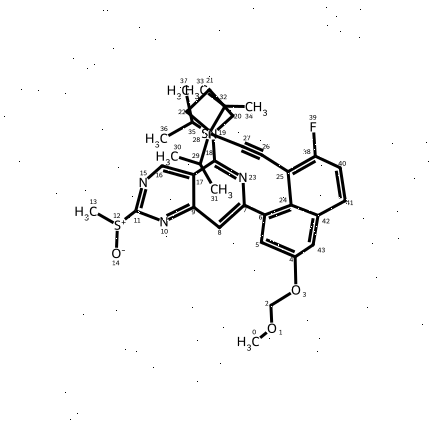 COCOc1cc(-c2cc3nc([S+](C)[O-])ncc3c(N3CCC3)n2)c2c(C#C[Si](C(C)C)(C(C)C)C(C)C)c(F)ccc2c1